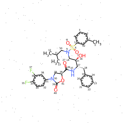 Cc1cccc(S(=O)(=O)N(CC(C)C)C[C@@H](O)[C@H](Cc2ccccc2)NC(=O)[C@@H]2CN(c3ccc(F)c(F)c3)C(=O)O2)c1